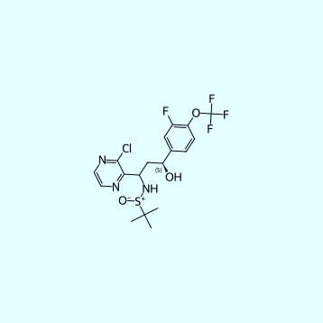 CC(C)(C)[S+]([O-])NC(C[C@H](O)c1ccc(OC(F)(F)F)c(F)c1)c1nccnc1Cl